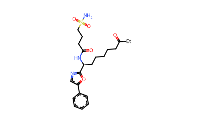 CCC(=O)CCCCC[C@H](NC(=O)CCCS(N)(=O)=O)c1ncc(-c2ccccc2)o1